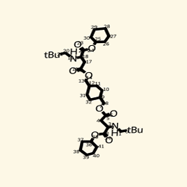 CC(C)(C)CNC(CC(=O)OCC1CCC(COC(=O)CC(NCC(C)(C)C)C(=O)OC2CCCCC2)CC1)C(=O)OC1CCCCC1